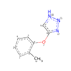 Cc1ccccc1Oc1[c][nH]nn1